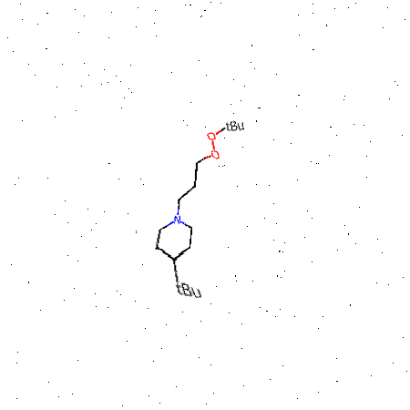 CC(C)(C)OOCCCN1CCC(C(C)(C)C)CC1